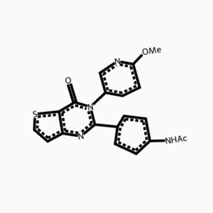 COc1ccc(-n2c(-c3ccc(NC(C)=O)cc3)nc3ccsc3c2=O)cn1